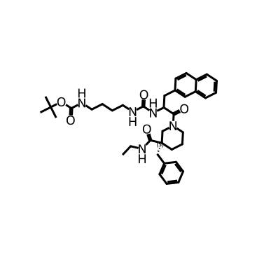 CCNC(=O)[C@]1(Cc2ccccc2)CCCN(C(=O)C(Cc2ccc3ccccc3c2)NC(=O)NCCCCNC(=O)OC(C)(C)C)C1